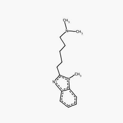 CN(C)CCCCCc1nc2ccccc2n1C